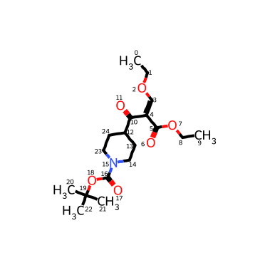 CCO/C=C(/C(=O)OCC)C(=O)C1CCN(C(=O)OC(C)(C)C)CC1